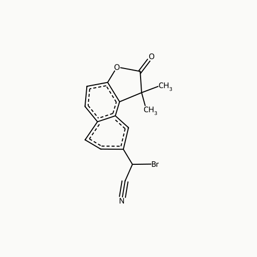 CC1(C)C(=O)Oc2ccc3ccc(C(Br)C#N)cc3c21